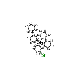 Brc1ccc2c(c1)[Si](c1ccccc1)(c1ccccc1)c1cc(-c3ccccc3)ccc1-2